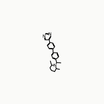 CC1CCCC(C)N1C(C)c1ccc(-c2ccc(-c3cncnc3)cc2)cc1